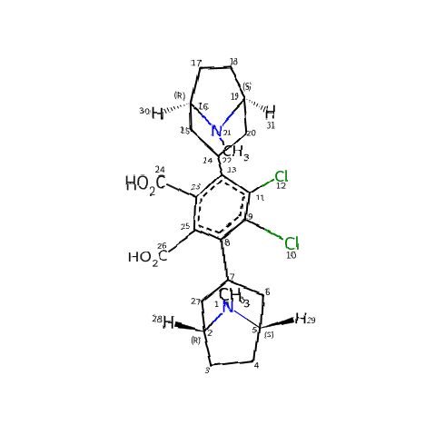 CN1[C@@H]2CC[C@H]1CC(c1c(Cl)c(Cl)c(C3C[C@H]4CC[C@@H](C3)N4C)c(C(=O)O)c1C(=O)O)C2